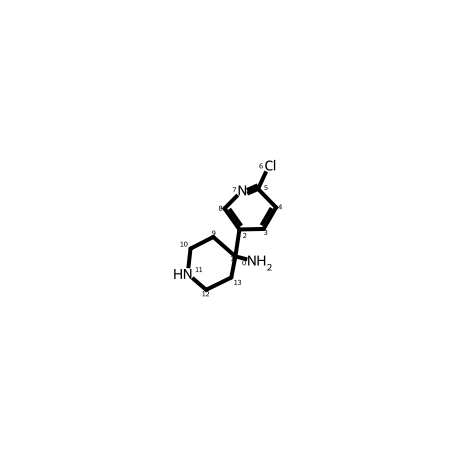 NC1(c2ccc(Cl)nc2)CCNCC1